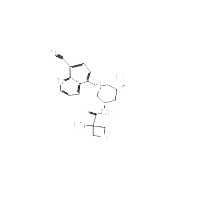 C[C@H]1C[C@@H](NC(=O)C2(N)COC2)CN(c2ccc(C#N)c3ncccc23)C1.Cl